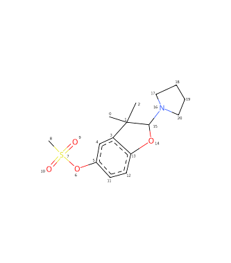 CC1(C)c2cc(OS(C)(=O)=O)ccc2OC1N1CCCC1